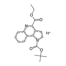 CCOC(=O)c1nc2ccccc2c2c1ccn2C(=O)OC(C)(C)C.[H+]